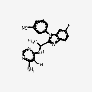 CC(Nc1ncnc(N)c1C#N)c1nc2ccc(F)cc2n1-c1cccc(C#N)c1